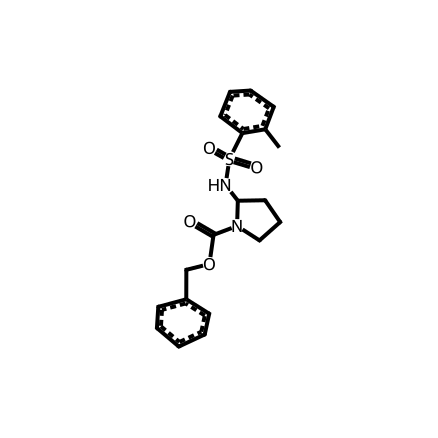 Cc1ccccc1S(=O)(=O)NC1CCCN1C(=O)OCc1ccccc1